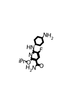 CC(C)Oc1nc(N[C@H]2CC[C@H](N)CC2)c(F)cc1C(N)=O